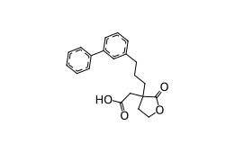 O=C(O)CC1(CCCc2cccc(-c3ccccc3)c2)CCOC1=O